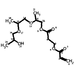 C=CC(=O)OCCC(=O)OCC(C)OCC(C)OCC(C)O